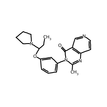 CCC(Oc1cccc(-n2c(C)nc3ccncc3c2=O)c1)N1CCCC1